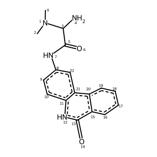 CN(C)C(N)C(=O)Nc1ccc2[nH]c(=O)c3ccccc3c2c1